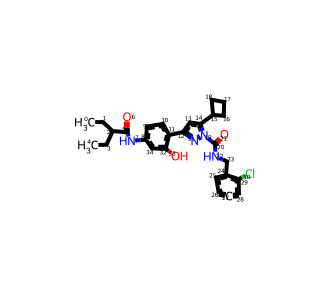 CCC(CC)C(=O)Nc1ccc(-c2cc(C3CCC3)n(C(=O)NCc3ccccc3Cl)n2)c(O)c1